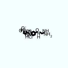 Cl.N=C(N)CCNC(=O)c1ccc2[nH]c(-c3ccc([N+](=O)[O-])[nH]3)nc2c1